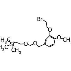 COc1ccc(COCOCC[Si](C)(C)C)cc1OCCBr